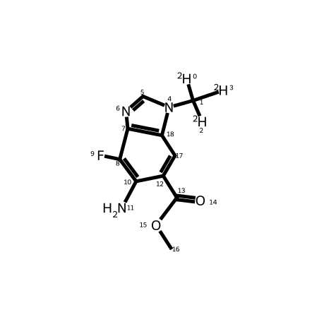 [2H]C([2H])([2H])n1cnc2c(F)c(N)c(C(=O)OC)cc21